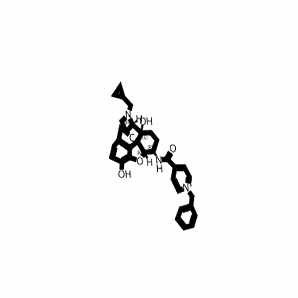 O=C(N[C@@H]1CC[C@@]2(O)[C@@H]3N(CC4CC4)CC34Cc3ccc(O)c5c3C2(C4)[C@H]1O5)c1cc[n+](Cc2ccccc2)cc1